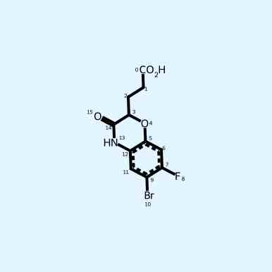 O=C(O)CCC1Oc2cc(F)c(Br)cc2NC1=O